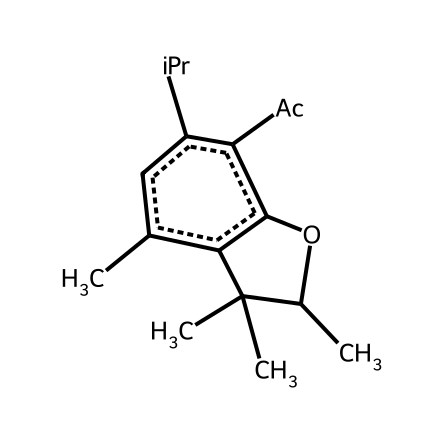 CC(=O)c1c(C(C)C)cc(C)c2c1OC(C)C2(C)C